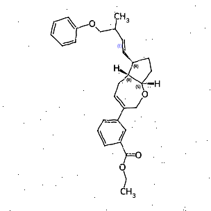 CCOC(=O)c1cccc(C2=CC[C@H]3[C@H](CC[C@@H]3/C=C/C(C)COc3ccccc3)OC2)c1